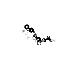 CCc1nc(/C(C)=N/OCc2ccc(C3CCCCC3)c(C(F)(F)F)c2)ccc1CN1CC(C2OC2O)C1